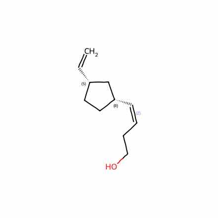 C=C[C@H]1CC[C@@H](/C=C\CCO)C1